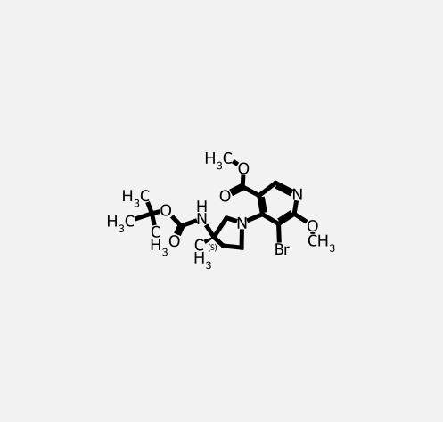 COC(=O)c1cnc(OC)c(Br)c1N1CC[C@](C)(NC(=O)OC(C)(C)C)C1